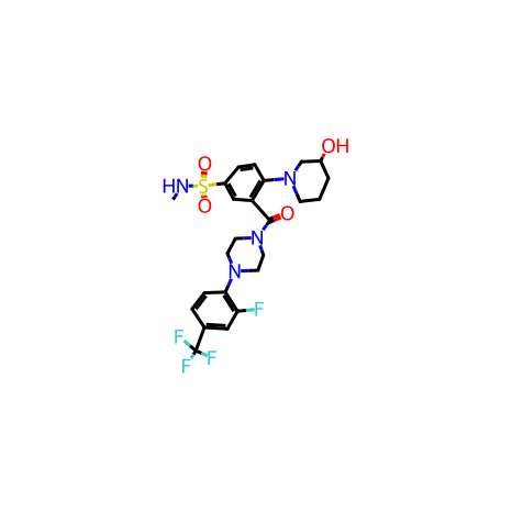 CNS(=O)(=O)c1ccc(N2CCCC(O)C2)c(C(=O)N2CCN(c3ccc(C(F)(F)F)cc3F)CC2)c1